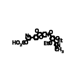 CCOc1cc(C(=O)N2CCC3(CC2)CC(=O)c2cc(-c4cncc(OC(=O)O)c4)ccc2O3)cc(OCC)c1-c1cnn(C)c1